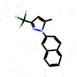 Cc1cc(C(F)(F)F)nn1-c1[c]c2ccccc2cc1